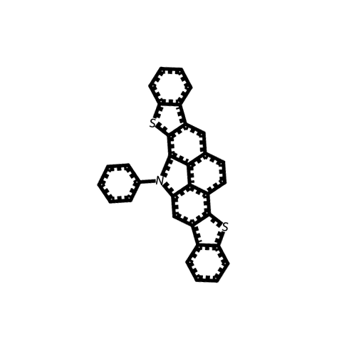 c1ccc(-n2c3cc4c5ccccc5sc4c4ccc5cc6c7ccccc7sc6c2c5c43)cc1